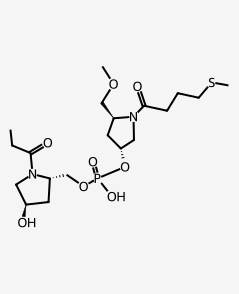 CCC(=O)N1C[C@H](O)C[C@H]1COP(=O)(O)O[C@@H]1C[C@@H](COC)N(C(=O)CCCSC)C1